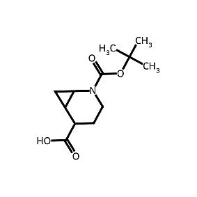 CC(C)(C)OC(=O)N1CCC(C(=O)O)C2CC21